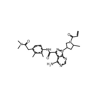 C=CC(=O)N1CC(n2nc(C(=O)Nc3ccc(CC(=O)N(C)C)c(C)c3C)c3c(N)ncnc32)CC1C